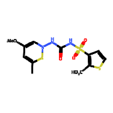 COC1=CN(NC(=O)NS(=O)(=O)c2ccsc2C(=O)O)SC(C)=C1